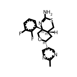 Cc1ncc([C@H]2C[C@H]3CSC(N)=N[C@@]3(c3cccc(F)c3F)CO2)cn1